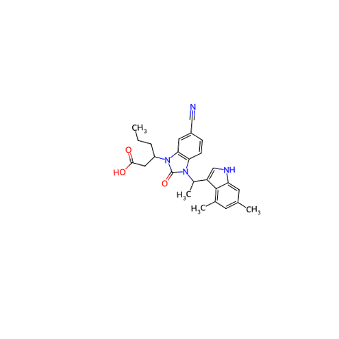 CCCC(CC(=O)O)n1c(=O)n(C(C)c2c[nH]c3cc(C)cc(C)c23)c2ccc(C#N)cc21